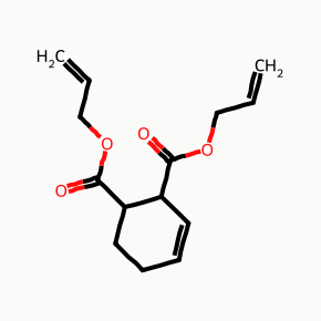 C=CCOC(=O)C1C=CCCC1C(=O)OCC=C